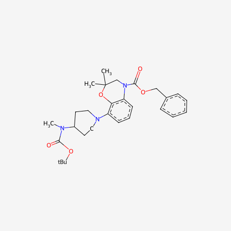 CN(C(=O)OC(C)(C)C)C1CCN(c2cccc3c2OC(C)(C)CN3C(=O)OCc2ccccc2)CC1